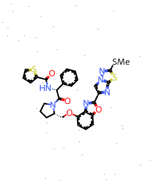 CSc1nn2cc(-c3nc4c(OC[C@@H]5CCCN5C(=O)[C@H](NC(=O)c5cccs5)c5ccccc5)cccc4o3)nc2s1